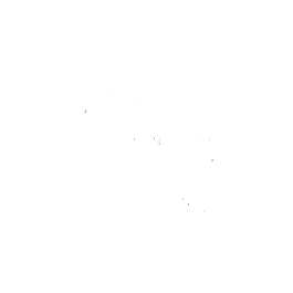 CC(C)(C)OC(=O)N(CC(N)=O)c1ccccc1